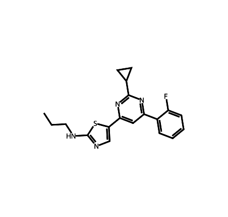 CCCNc1ncc(-c2cc(-c3ccccc3F)nc(C3CC3)n2)s1